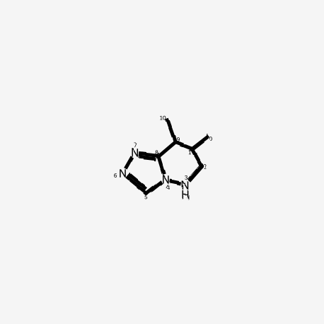 CC1CNn2cnnc2C1C